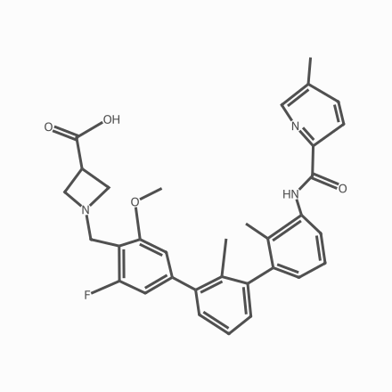 COc1cc(-c2cccc(-c3cccc(NC(=O)c4ccc(C)cn4)c3C)c2C)cc(F)c1CN1CC(C(=O)O)C1